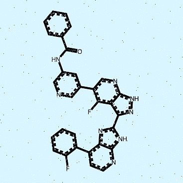 O=C(Nc1cncc(-c2cnc3[nH]nc(-c4nc5c(-c6ccccc6F)ccnc5[nH]4)c3c2F)c1)c1ccccc1